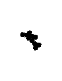 C1=CC2=C(CC1)C(c1ccccc1)(c1ccc(-c3ccccc3)cc1)c1cc3c(cc12)c1ccccc1n3-c1cccc(-c2ccc(N(c3ccccc3)c3ccccc3)cc2)c1